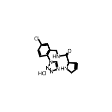 Cl.O=C(NCc1cc(Cl)ccc1-n1cnnn1)[C]1C#C[CH]N1